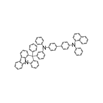 c1ccc(N(c2ccc(-c3ccc(N(c4ccccc4)c4cccc5ccccc45)cc3)cc2)c2cccc(C3(c4ccccc4)c4ccccc4-n4c5ccccc5c5cccc3c54)c2)cc1